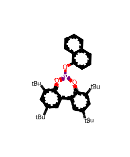 CC(C)(C)c1cc(C(C)(C)C)c2op(Oc3cccc4ccccc34)oc3c(C(C)(C)C)cc(C(C)(C)C)cc3c2c1